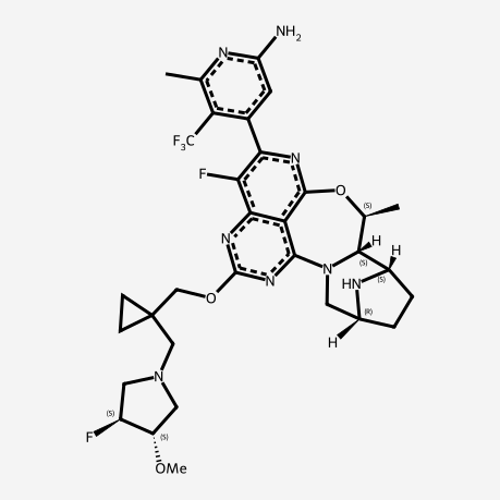 CO[C@H]1CN(CC2(COc3nc4c5c(nc(-c6cc(N)nc(C)c6C(F)(F)F)c(F)c5n3)O[C@@H](C)[C@@H]3[C@@H]5CC[C@H](CN43)N5)CC2)C[C@@H]1F